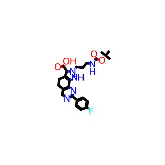 CC(C)(C)OC(=O)NCCCN1NC2=C(CCc3cnc(-c4ccc(F)cc4)nc32)C1C(=O)O